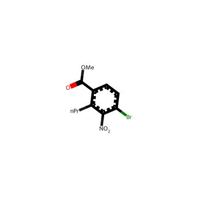 CCCc1c(C(=O)OC)ccc(Br)c1[N+](=O)[O-]